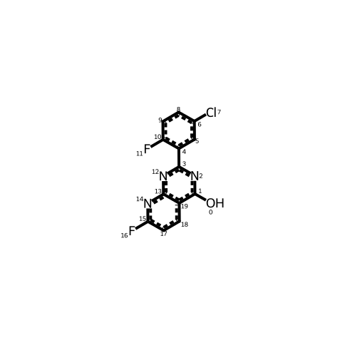 Oc1nc(-c2cc(Cl)ccc2F)nc2nc(F)ccc12